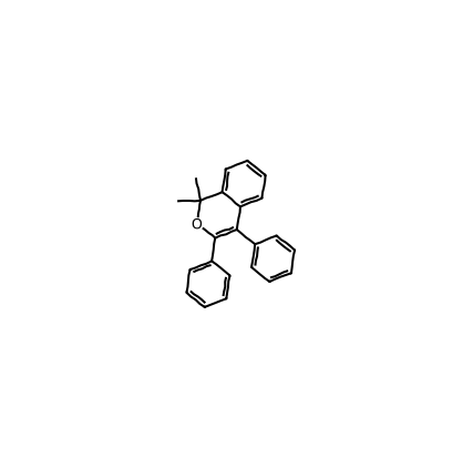 CC1(C)OC(c2ccccc2)=C(c2ccccc2)c2ccccc21